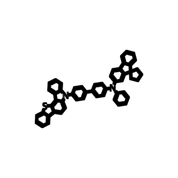 c1ccc(N(c2ccc(-c3ccc(-n4c5ccccc5c5c6sc7ccccc7c6ccc54)cc3)cc2)c2ccc3c(c2)C2(CCCC2)c2ccccc2-3)cc1